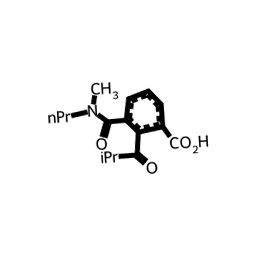 CCCN(C)C(=O)c1cccc(C(=O)O)c1C(=O)C(C)C